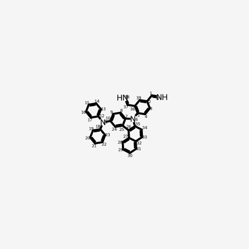 N=Cc1ccc(-n2c3ccc(N(c4ccccc4)c4ccccc4)cc3c3c4ccccc4ccc32)c(C=N)c1